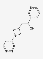 OC(CC1CN(c2ccnnc2)C1)c1cccnc1